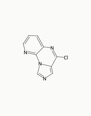 Clc1nc2cccnc2n2cncc12